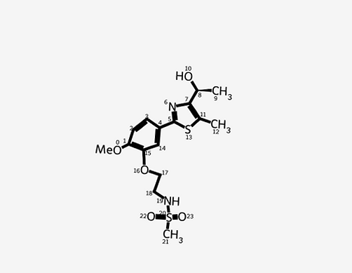 COc1ccc(-c2nc([C@H](C)O)c(C)s2)cc1OCCNS(C)(=O)=O